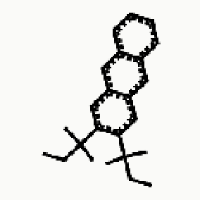 CCC(C)(C)c1cc2cc3ccccc3cc2cc1C(C)(C)CC